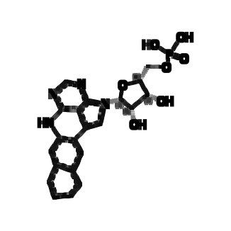 O=P(O)(O)OC[C@H]1O[C@@H](n2cc3c4c(ncnc42)Nc2cc4ccccc4cc2-3)[C@@H](O)[C@H]1O